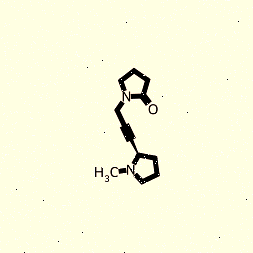 CN1CCC[C@@H]1C#CCN1CCCC1=O